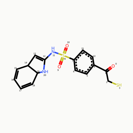 O=C(CS)c1ccc(S(=O)(=O)NC2=CC3C=CC=CC3N2)cc1